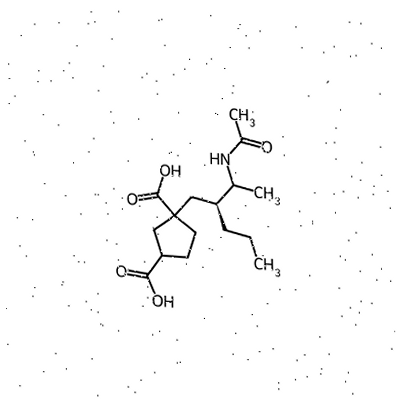 CCC[C@@H](CC1(C(=O)O)CCC(C(=O)O)C1)C(C)NC(C)=O